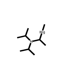 [CH3][Mg][CH](C)N(C(C)C)C(C)C